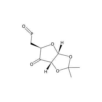 CC1(C)O[C@H]2O[C@H](CP=O)C(=O)[C@H]2O1